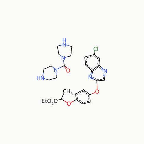 CCOC(=O)C(C)Oc1ccc(Oc2cnc3cc(Cl)ccc3n2)cc1.O=C(N1CCNCC1)N1CCNCC1